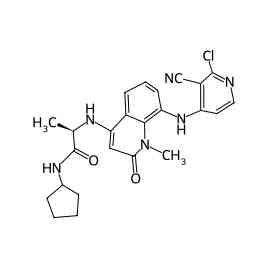 C[C@@H](Nc1cc(=O)n(C)c2c(Nc3ccnc(Cl)c3C#N)cccc12)C(=O)NC1CCCC1